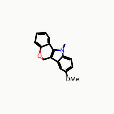 COc1ccc2c(c1)c1c(n2C)-c2ccccc2OC1